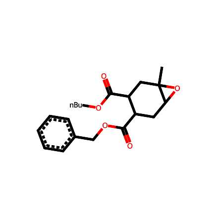 CCCCOC(=O)C1CC2(C)OC2CC1C(=O)OCc1ccccc1